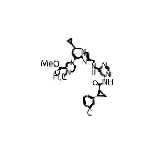 COC(=O)C1CN(c2cc(C3CC3)cn3cc(CNc4cc(NC(=O)[C@H]5C[C@@H]5c5cccc(Cl)c5)ncn4)nc23)CCN1C